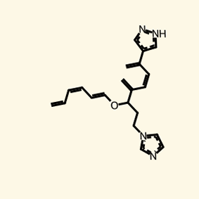 C=C/C=C\C=C\OC(CCn1ccnc1)C(=C)/C=C\C(=C)c1cn[nH]c1